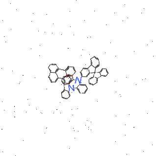 c1ccc(-c2cccc3cccc(-c4ccc(N(c5ccc6c(c5)C5(c7ccccc7-c7ccccc75)c5ccccc5-6)c5ccccc5-n5c6ccccc6c6ccccc65)cc4)c23)cc1